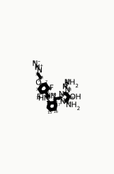 [N-]=[N+]=NCCOc1cc(F)c(CNc2ccccc2C(=N)c2nc(N)c(O)c(N=NN)n2)c(F)c1